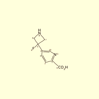 O=C(O)c1ccc(C2(F)CNC2)cn1